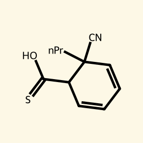 CCCC1(C#N)C=CC=CC1C(O)=S